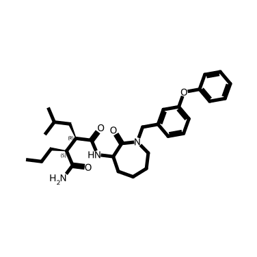 CCC[C@H](C(N)=O)[C@@H](CC(C)C)C(=O)NC1CCCCN(Cc2cccc(Oc3ccccc3)c2)C1=O